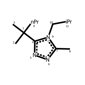 CCCC(C)(C)c1nnc(C)n1CC(C)C